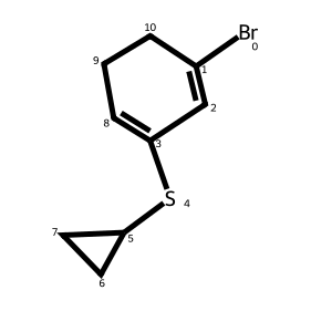 BrC1=CC(SC2CC2)=CCC1